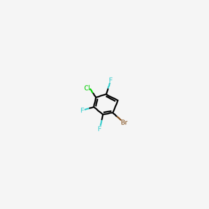 Fc1cc(Br)c(F)c(F)c1Cl